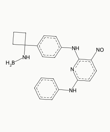 BNC1(c2ccc(Nc3nc(Nc4ccccc4)ccc3N=O)cc2)CCC1